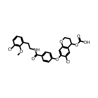 COc1c(Cl)cccc1CCNC(=O)c1ccc(Oc2cc3c(cc2Cl)C(OC(=O)O)CCO3)cc1